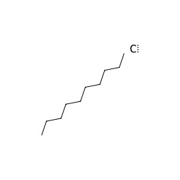 CCCCCCCCCC.[C]